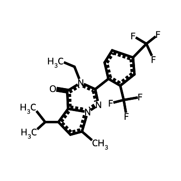 CCn1c(-c2ccc(C(F)(F)F)cc2C(F)(F)F)nn2c(C)cc(C(C)C)c2c1=O